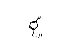 CCC1=CC=C(C(=O)O)C1